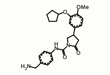 COc1ccc(C2CC(=O)N(C(=O)Nc3ccc(CN)cc3)C2)cc1OC1CCCC1